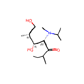 CC(C)C(=O)[C@H]([C@H](O)[C@H](C)CO)N(C)C(C)C